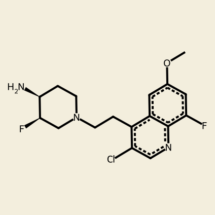 COc1cc(F)c2ncc(Cl)c(CCN3CC[C@H](N)[C@H](F)C3)c2c1